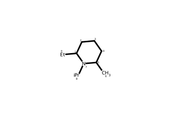 CCC1CCCC(C)N1C(C)C